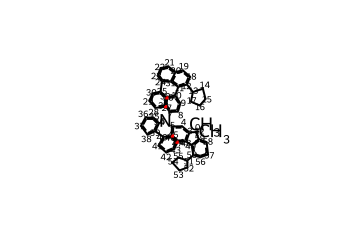 CC1(C)c2cc(N(c3ccc(-c4c(C5CCCC5)ccc5cccc(-c6ccccc6)c45)cc3)c3ccccc3-c3ccccc3)ccc2-c2c(C3CCCC3)cccc21